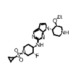 CCO[C@H]1CNCC[C@@H]1n1ccc2cnc(N[C@@H]3CCN(S(=O)(=O)C4CC4)C[C@H]3F)nc21